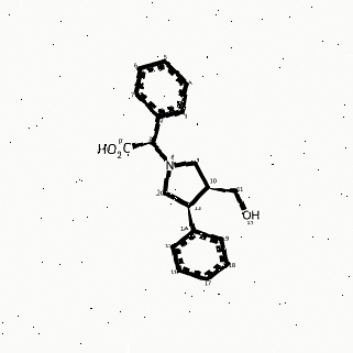 O=C(O)[C@@H](c1ccccc1)N1C[C@@H](CO)[C@@H](c2ccccc2)C1